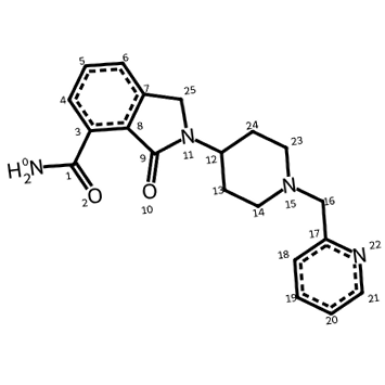 NC(=O)c1cccc2c1C(=O)N(C1CCN(Cc3ccccn3)CC1)C2